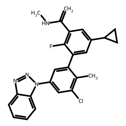 C=C(NC)c1cc(C2CC2)cc(-c2cc(-n3nnc4ccccc43)cc(Cl)c2C)c1F